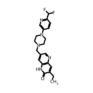 CCc1cc2ncc(CN3CCN(c4ccc(C(F)F)nc4)CC3)cc2[nH]c1=O